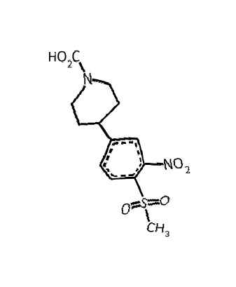 CS(=O)(=O)c1ccc(C2CCN(C(=O)O)CC2)cc1[N+](=O)[O-]